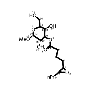 CCCC1OC1CCCC(=O)OC1[C@H](O)C(CO)O[C@H](OC)[C@H]1O